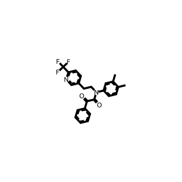 Cc1ccc(N(CCc2ccc(C(F)(F)F)nc2)C(=O)C(=O)c2ccccc2)cc1C